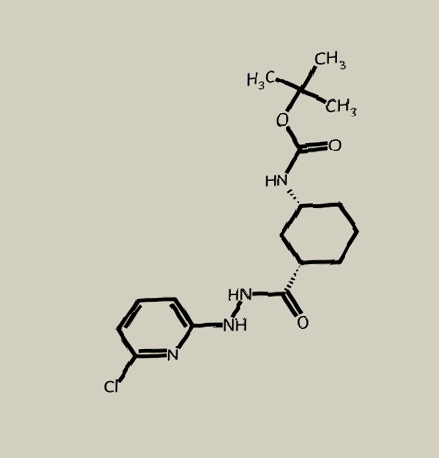 CC(C)(C)OC(=O)N[C@@H]1CCC[C@H](C(=O)NNc2cccc(Cl)n2)C1